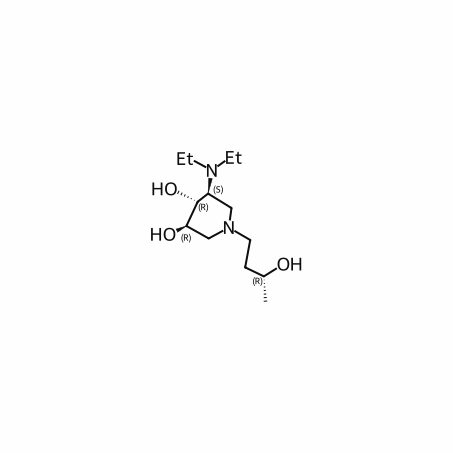 CCN(CC)[C@H]1CN(CC[C@@H](C)O)C[C@@H](O)[C@@H]1O